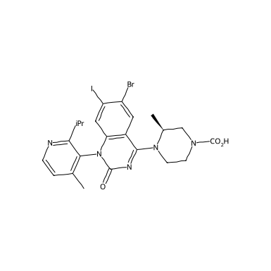 Cc1ccnc(C(C)C)c1-n1c(=O)nc(N2CCN(C(=O)O)C[C@@H]2C)c2cc(Br)c(I)cc21